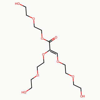 O=C(OCCOCCO)C(=COCCOCCO)OCCOCCO